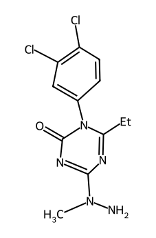 CCc1nc(N(C)N)nc(=O)n1-c1ccc(Cl)c(Cl)c1